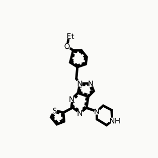 CCOc1cccc(Cn2ncc3c(N4CCNCC4)nc(-c4cccs4)nc32)c1